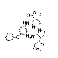 C=CC(=O)C1CCN(c2ccc(C(N)=O)c(Nc3ccc(Oc4ccccc4)cc3)n2)C1N